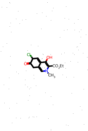 CCOC(=O)C1=C(O)C2=CC(Cl)C(=O)CC2=CN1C